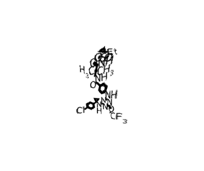 CCC1(S(=O)(=O)NC(=O)C(C)(C)CNC(=O)c2ccc(Nc3nc(NC4(c5ccc(Cl)cc5)CC4)nc(OCC(F)(F)F)n3)cc2)CC1